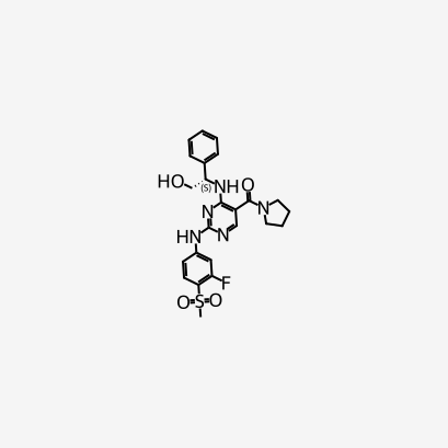 CS(=O)(=O)c1ccc(Nc2ncc(C(=O)N3CCCC3)c(N[C@H](CO)c3ccccc3)n2)cc1F